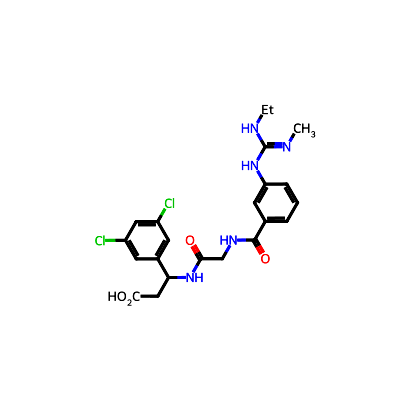 CCNC(=NC)Nc1cccc(C(=O)NCC(=O)NC(CC(=O)O)c2cc(Cl)cc(Cl)c2)c1